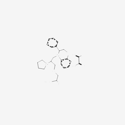 CC(C)COCC(CN1c2ccccc2OCC1c1ccccc1)N1CCCC1.O=C(O)C(=O)O